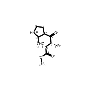 CC(C)[C@H](NC(=O)OC(C)(C)C)C(=O)C1CCN[C@@H]1[C]=O